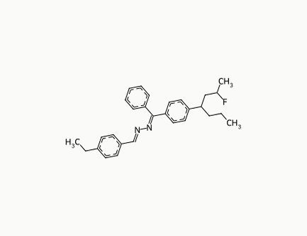 CCCC(CC(C)F)c1ccc(C(=NN=Cc2ccc(CC)cc2)c2ccccc2)cc1